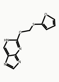 c1coc(SCOc2nc3ncnc-3c[nH]2)c1